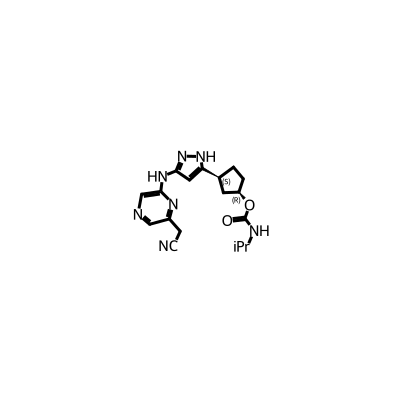 CC(C)NC(=O)O[C@@H]1CC[C@H](c2cc(Nc3cncc(CC#N)n3)n[nH]2)C1